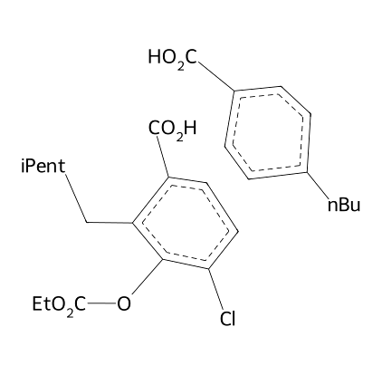 CCCC(C)Cc1c(C(=O)O)ccc(Cl)c1OC(=O)OCC.CCCCc1ccc(C(=O)O)cc1